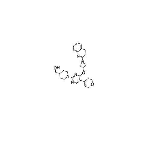 OCC1CCN(c2ncc(C3=CCOCC3)c(OC3CN(c4ccc5ccccc5n4)C3)n2)CC1